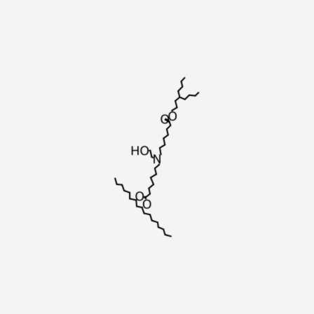 CCCCCCCCC(CCCCCCCC)OC(=O)CCCCCCCN(CCO)CCCCCCCC(=O)OCCCC(CCCC)CCCC